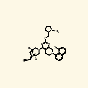 CN1CCCC1COc1nc2c(c(N3C[C@H]4C/C(=C\C#N)[C@@H](C3)N4)n1)CCN(c1cccc3cccc(Cl)c13)C2